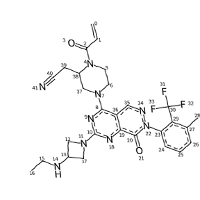 C=CC(=O)N1CCN(c2nc(N3CC(NCC)C3)nc3c(=O)n(-c4cccc(C)c4C(F)(F)F)ncc23)CC1CC#N